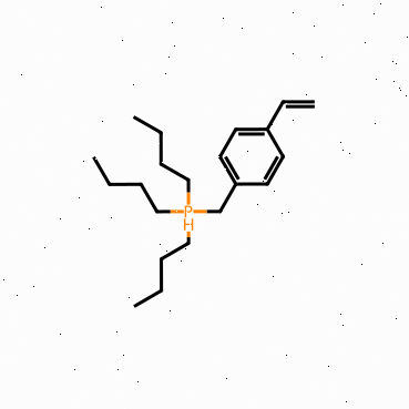 C=Cc1ccc(C[PH](CCCC)(CCCC)CCCC)cc1